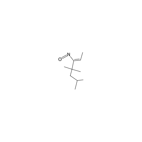 CC=C(N=O)C(C)(C)CC(C)C